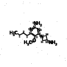 CCCCc1nc(N)nc(N2CC(N)C2)c1OC